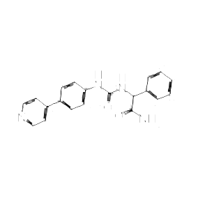 NC(=O)C(NC(=O)Nc1ccc(-c2ccncc2)cc1)c1ccccc1